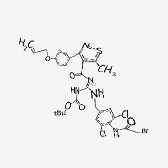 C=CCOc1ccc(-c2nsc(C)c2C(=O)/N=C(/NCc2cc(Cl)c(NC(=O)CBr)c(Cl)c2)NC(=O)OC(C)(C)C)cc1